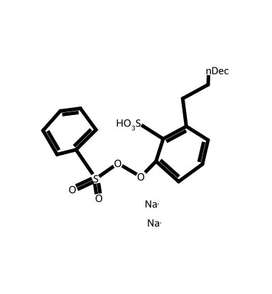 CCCCCCCCCCCCc1cccc(OOS(=O)(=O)c2ccccc2)c1S(=O)(=O)O.[Na].[Na]